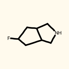 FC1CC2CNCC2C1